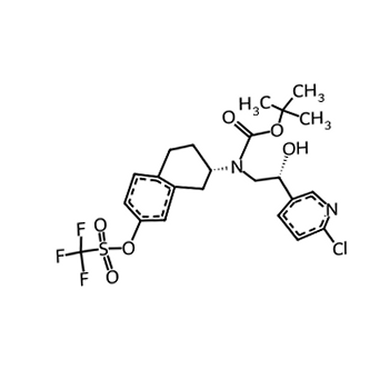 CC(C)(C)OC(=O)N(C[C@H](O)c1ccc(Cl)nc1)[C@H]1CCc2ccc(OS(=O)(=O)C(F)(F)F)cc2C1